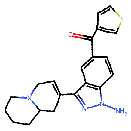 Nn1nc(C2=CCN3CCCCC3C2)c2cc(C(=O)c3ccsc3)ccc21